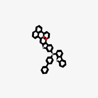 c1ccc(-c2ccc(N(c3ccc4c(c3)sc3cc(-c5cccc6cccc(-c7ccccc7)c56)ccc34)c3cccc4c3sc3ccccc34)cc2)cc1